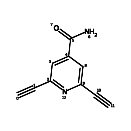 C#Cc1cc(C(N)=O)cc(C#C)n1